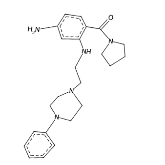 Nc1ccc(C(=O)N2CCCC2)c(NCCN2CCN(c3ccccc3)CC2)c1